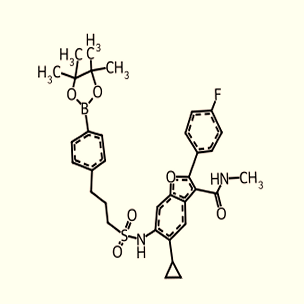 CNC(=O)c1c(-c2ccc(F)cc2)oc2cc(NS(=O)(=O)CCCc3ccc(B4OC(C)(C)C(C)(C)O4)cc3)c(C3CC3)cc12